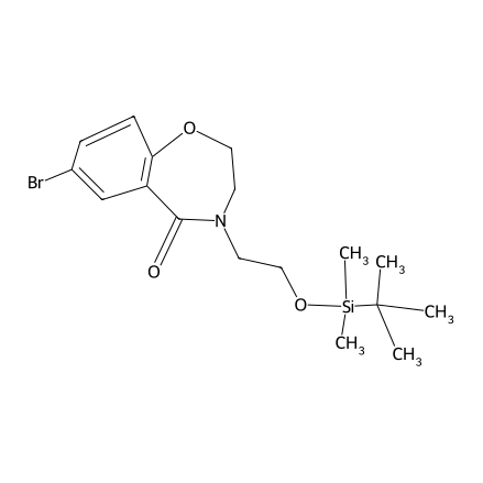 CC(C)(C)[Si](C)(C)OCCN1CCOc2ccc(Br)cc2C1=O